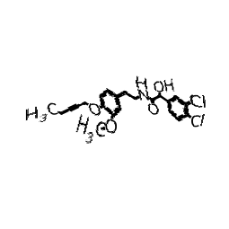 CCC#CCOc1ccc(CCNC(=O)C(O)c2ccc(Cl)c(Cl)c2)cc1OC